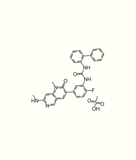 CNc1cc2c(cn1)cc(-c1ccc(F)c(NC(=O)Nc3ccccc3-c3ccccc3)c1)c(=O)n2C.CS(=O)(=O)O